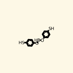 Sc1ccc(OBOc2ccc(S)cc2)cc1